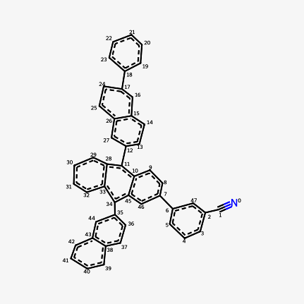 N#Cc1cccc(-c2ccc3c(-c4ccc5cc(-c6ccccc6)ccc5c4)c4ccccc4c(-c4ccc5ccccc5c4)c3c2)c1